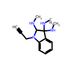 C#CCN1c2ccccc2C(NC)(NC)C1NC